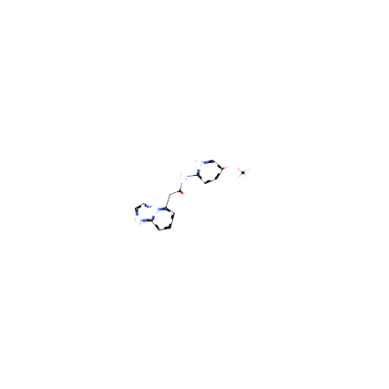 O=C(Cc1cccc2nccn12)Nc1ccc(OC(F)(F)F)cn1